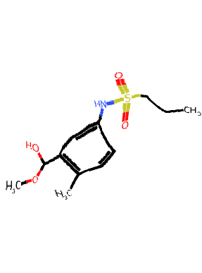 CCCS(=O)(=O)Nc1ccc(C)c(C(O)OC)c1